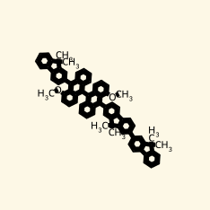 COc1cccc2c(-c3c4ccccc4c(-c4ccc5c(c4)C(C)(C)c4cc(-c6ccc7c(c6)C(C)(C)c6ccccc6-7)ccc4-5)c4c(OC)cccc34)c3ccccc3c(-c3ccc4c(c3)C(C)(C)c3ccccc3-4)c12